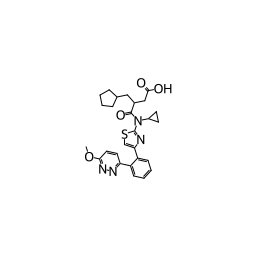 COc1ccc(-c2ccccc2-c2csc(N(C(=O)C(CC(=O)O)CC3CCCC3)C3CC3)n2)nn1